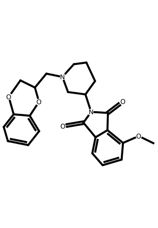 COc1cccc2c1C(=O)N(C1CCCN(CC3COc4ccccc4O3)C1)C2=O